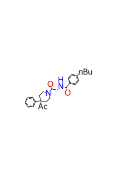 CCCCc1ccc(C(=O)NCC(=O)N2CCC(C(C)=O)(c3ccccc3)CC2)cc1